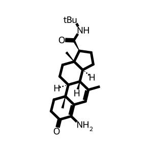 CC1=CC2=C(N)C(=O)CC[C@]2(C)[C@H]2CC[C@]3(C)[C@@H](C(=O)NC(C)(C)C)CC[C@H]3[C@H]12